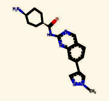 Cn1cc(-c2ccc3cnc(NC(=O)[C@H]4CC[C@H](N)CC4)nc3c2)cn1